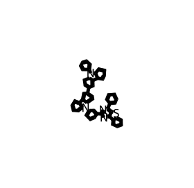 C1=CC2C3=CC(c4ccc5c(c4)c4ccccc4n5-c4cccc(-c5nc(-c6ccccc6)c6sc7ccccc7c6n5)c4)=CCC3N(c3ccccc3)C2C=C1